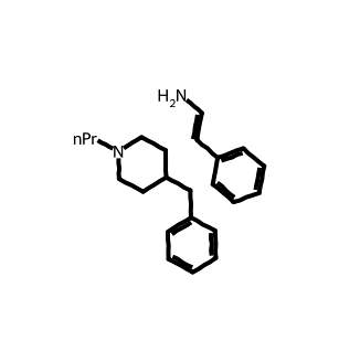 CCCN1CCC(Cc2ccccc2)CC1.NC=Cc1ccccc1